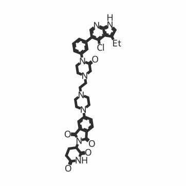 CCc1c[nH]c2ncc(-c3cccc(N4CCN(CCN5CCN(c6ccc7c(c6)C(=O)N(C6CCC(=O)NC6=O)C7=O)CC5)CC4=O)c3)c(Cl)c12